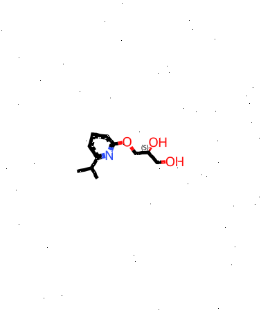 CC(C)c1cccc(OC[C@@H](O)CO)n1